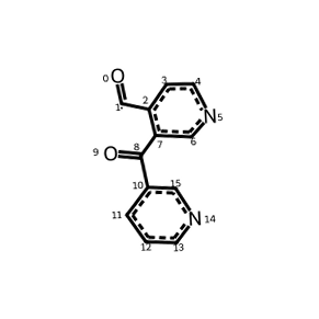 O=[C]c1ccncc1C(=O)c1cccnc1